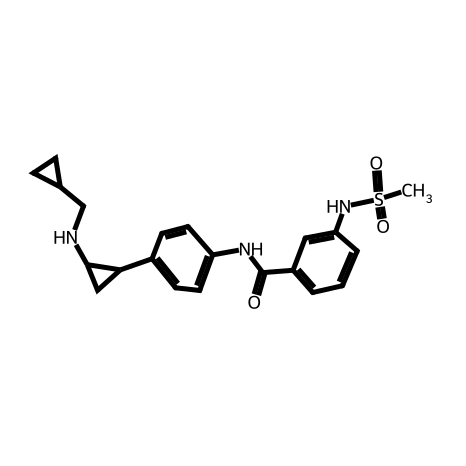 CS(=O)(=O)Nc1cccc(C(=O)Nc2ccc(C3CC3NCC3CC3)cc2)c1